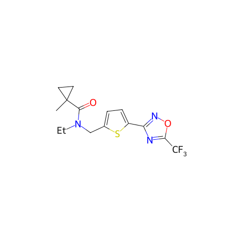 CCN(Cc1ccc(-c2noc(C(F)(F)F)n2)s1)C(=O)C1(C)CC1